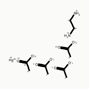 CC(=O)[O-].CC(=O)[O-].CC(=O)[O-].CC(=O)[O-].NCCN.[Hg+4]